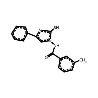 Cc1cccc(C(=O)Nn2cc(-c3ccccc3)nc2S)c1